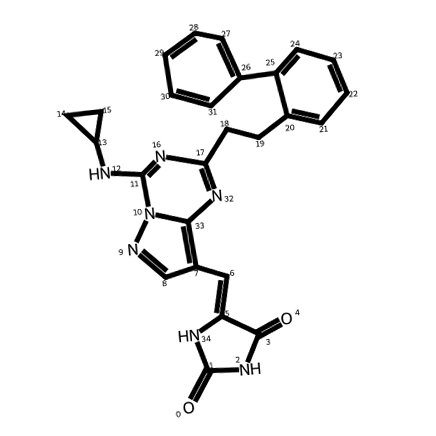 O=C1NC(=O)/C(=C/c2cnn3c(NC4CC4)nc(CCc4ccccc4-c4ccccc4)nc23)N1